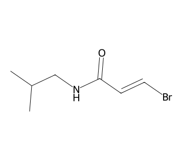 CC(C)CNC(=O)C=CBr